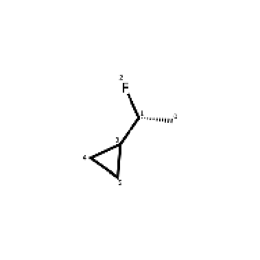 C[C@@H](F)C1CC1